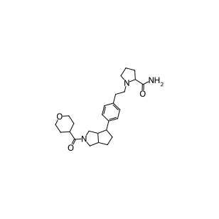 NC(=O)C1CCCN1CCc1ccc(C2CCC3CN(C(=O)C4CCOCC4)CC32)cc1